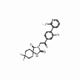 Cc1ncccc1-c1ccc(C(=O)CN2C(=O)NC3(CCC(F)(F)CC3)C2=O)cc1Cl